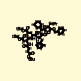 Cc1ccccc1C[C@H](NC(=O)[C@H](CCC(=O)OC(C)(C)C)NC(=O)[C@H](CC(=O)OC(C)(C)C)NC(=O)CCC(=O)OC(C)(C)C)C(=O)N[C@H](C(=O)N[C@@H](CC(C)C)C(=O)OCc1ccccc1)C1CCCCC1